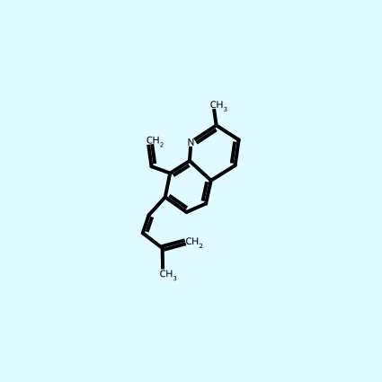 C=Cc1c(/C=C\C(=C)C)ccc2ccc(C)nc12